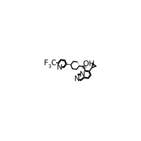 O[C@@H](c1c(C2CC2)ccc2cncn12)[C@H]1CC[C@H](c2ccc(C(F)(F)F)nc2)CC1